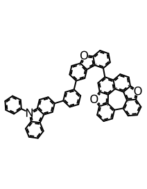 c1ccc(-n2c3ccccc3c3cc(-c4cccc(-c5ccc6oc7cccc(-c8cc9oc%10cccc%11c%10c9c9c8ccc8oc%10cccc-%11c%10c89)c7c6c5)c4)ccc32)cc1